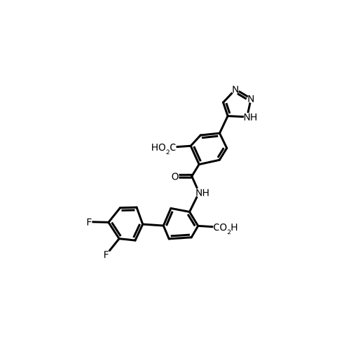 O=C(O)c1ccc(-c2ccc(F)c(F)c2)cc1NC(=O)c1ccc(-c2cnn[nH]2)cc1C(=O)O